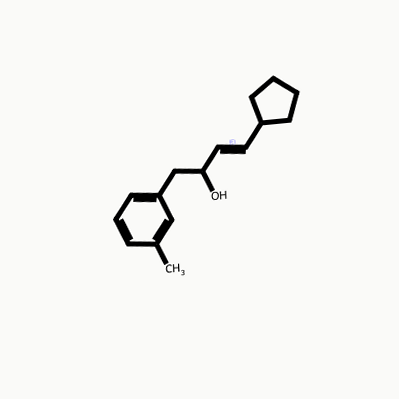 Cc1cccc(CC(O)/C=C/C2CCCC2)c1